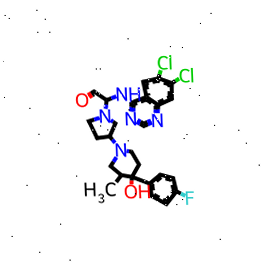 CC1CN(C2CCN(C(C=O)Nc3ncnc4cc(Cl)c(Cl)cc34)C2)CCC1(O)c1ccc(F)cc1